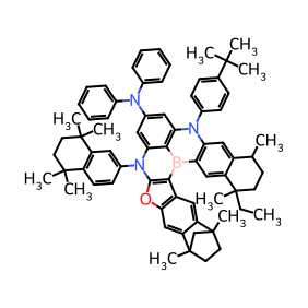 CCC1(C)CCC(C)c2cc3c(cc21)B1c2c(cc(N(c4ccccc4)c4ccccc4)cc2N(c2ccc4c(c2)C(C)(C)CCC4(C)C)c2oc4cc5c(cc4c21)C1(C)CCC5(C)C1)N3c1ccc(C(C)(C)C)cc1